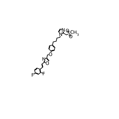 CS(=O)(=O)Cc1nccn1CCCCc1ccc(OCc2coc(/C=C/c3ccc(F)cc3F)n2)cc1